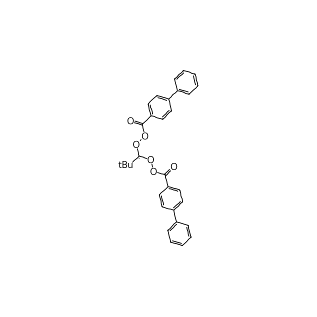 [CH2]C(C)(C)[C](OOC(=O)c1ccc(-c2ccccc2)cc1)OOC(=O)c1ccc(-c2ccccc2)cc1